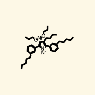 CCCCCc1cccc(C2=CC(CCCC)=C(c3cccc(CCCCC)c3)[N+]2=[N-])c1.CCC[O][Ni][O]CCC